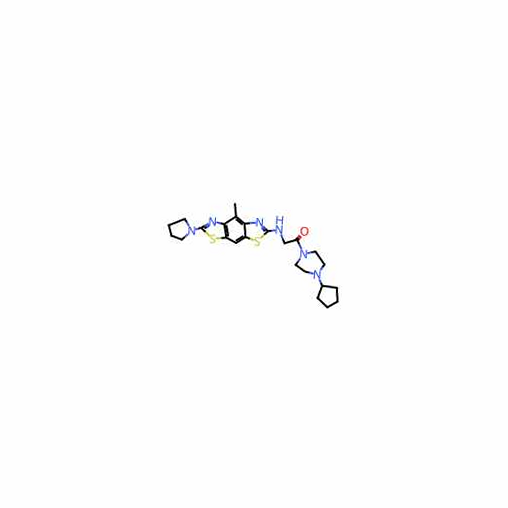 Cc1c2nc(NCC(=O)N3CCN(C4CCCC4)CC3)sc2cc2sc(N3CCCC3)nc12